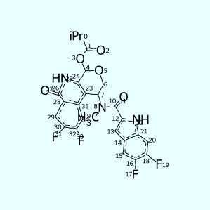 CC(C)C(=O)OC1OCC(N(C)C(=O)c2cc3cc(F)c(F)cc3[nH]2)c2c1[nH]c(=O)c1cc(F)c(F)cc21